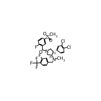 CN(Cc1ccc(C(F)(F)F)c(F)c1)[C@H]1CN(C(=O)c2cc(S(C)(=O)=O)ccc2F)C[C@@H]1c1ccc(Cl)c(Cl)c1